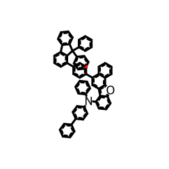 c1ccc(-c2ccc(N(c3ccccc3)c3cccc4oc5c6ccccc6c(-c6ccc(-c7cccc8c7C(c7ccccc7)(c7ccccc7)c7ccccc7-8)cc6)cc5c34)cc2)cc1